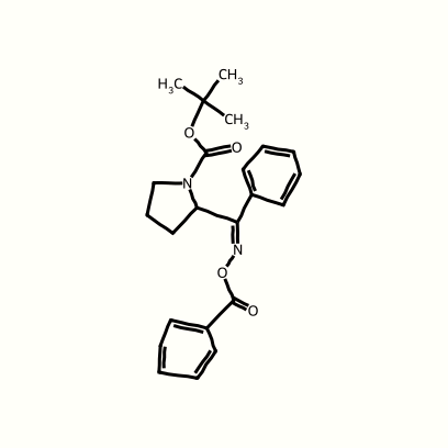 CC(C)(C)OC(=O)N1CCCC1C(=NOC(=O)c1ccccc1)c1ccccc1